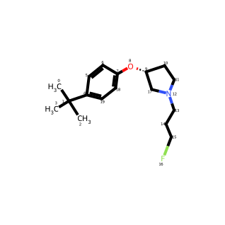 CC(C)(C)c1ccc(O[C@@H]2CCN(CCCF)C2)cc1